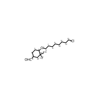 O=CC1CCC(OCCCCCCCCCl)C(F)(F)C1